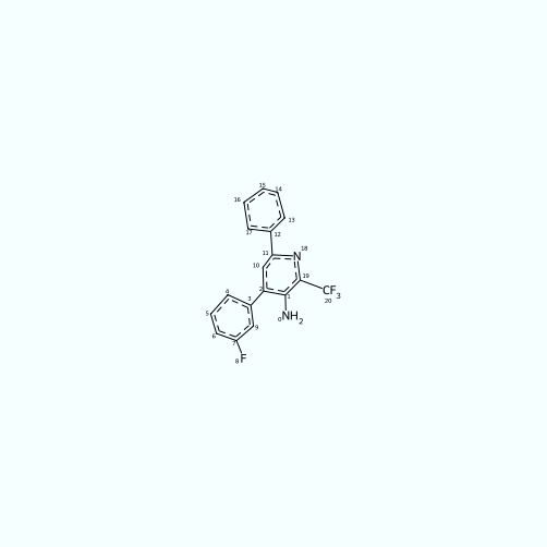 Nc1c(-c2cccc(F)c2)cc(-c2ccccc2)nc1C(F)(F)F